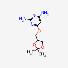 CC1(C)OCC(COc2cc(N)nc(N)n2)O1